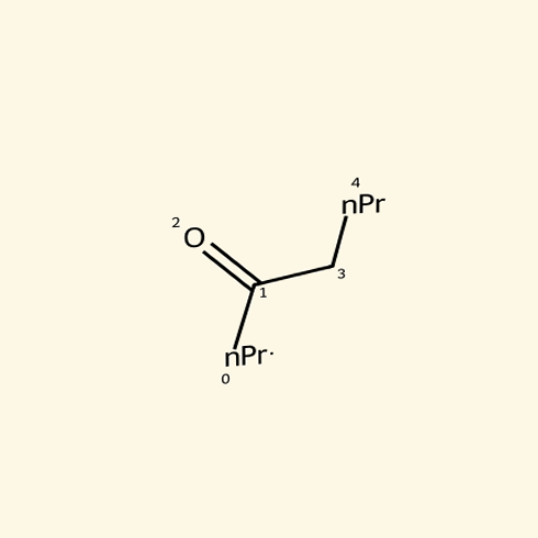 CC[CH]C(=O)CCCC